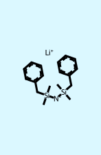 C[Si](C)(Cc1ccccc1)[N-][Si](C)(C)Cc1ccccc1.[Li+]